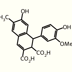 COc1cc(C2c3cc(O)c(C)cc3C=C(C(=O)O)C2C(=O)O)ccc1O